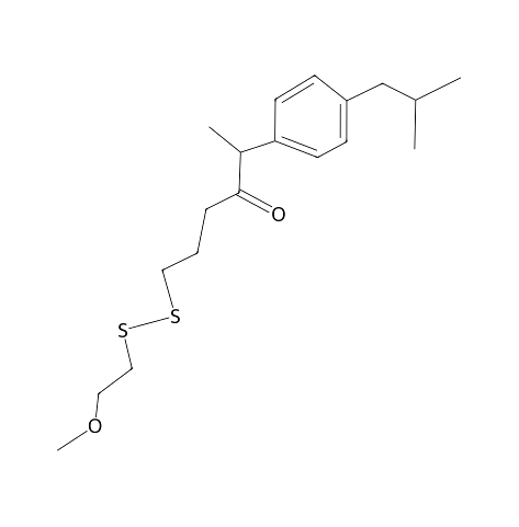 COCCSSCCCC(=O)C(C)c1ccc(CC(C)C)cc1